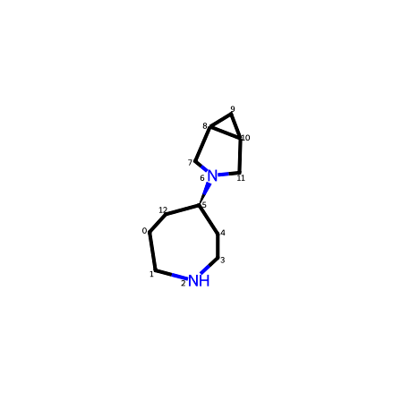 C1CNCC[C@H](N2CC3CC3C2)C1